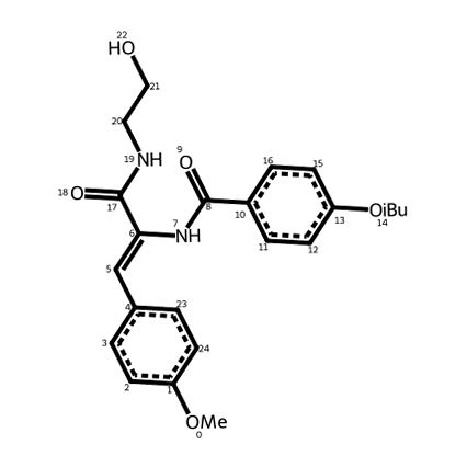 COc1ccc(/C=C(\NC(=O)c2ccc(OCC(C)C)cc2)C(=O)NCCO)cc1